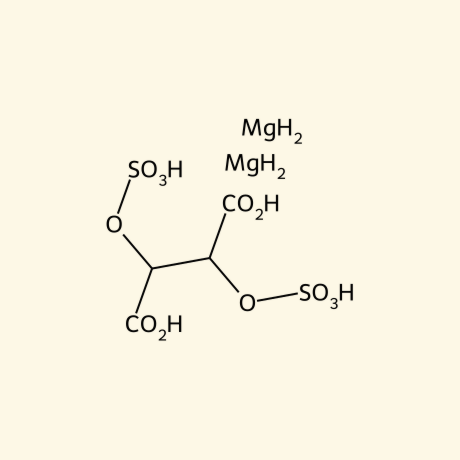 O=C(O)C(OS(=O)(=O)O)C(OS(=O)(=O)O)C(=O)O.[MgH2].[MgH2]